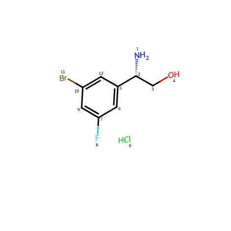 Cl.N[C@H](CO)c1cc(F)cc(Br)c1